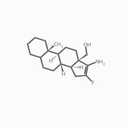 C[C@]12CCCCC1CC[C@H]1[C@@H]3CC(F)=C(N)[C@@]3(CO)CC[C@@H]12